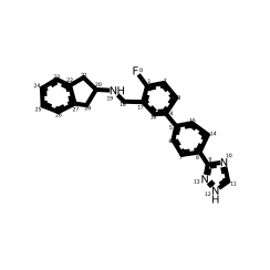 Fc1ccc(-c2ccc(-c3nc[nH]n3)cc2)cc1CNC1Cc2ccccc2C1